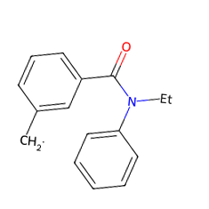 [CH2]c1cccc(C(=O)N(CC)c2ccccc2)c1